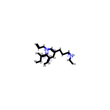 C=CCN/C=C(/CC/C=N\CC)CC(/C=C(/C)CC)=C/C